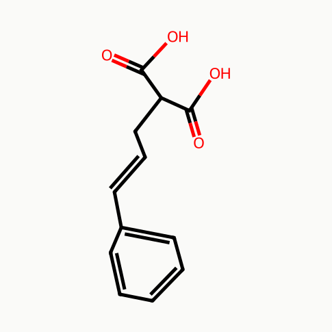 O=C(O)C(CC=Cc1ccccc1)C(=O)O